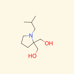 CC(C)CN1CCCC1(CO)CO